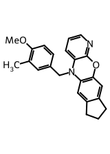 COc1ccc(CN2c3cc4c(cc3Oc3ncccc32)CCC4)cc1C